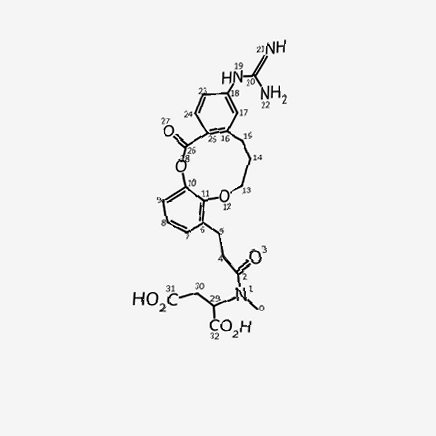 CN(C(=O)CCc1cccc2c1OCCCc1cc(NC(=N)N)ccc1C(=O)O2)C(CC(=O)O)C(=O)O